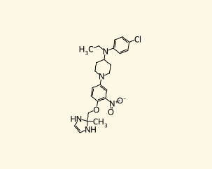 CCN(c1ccc(Cl)cc1)C1CCN(c2ccc(OCC3(C)NC=CN3)c([N+](=O)[O-])c2)CC1